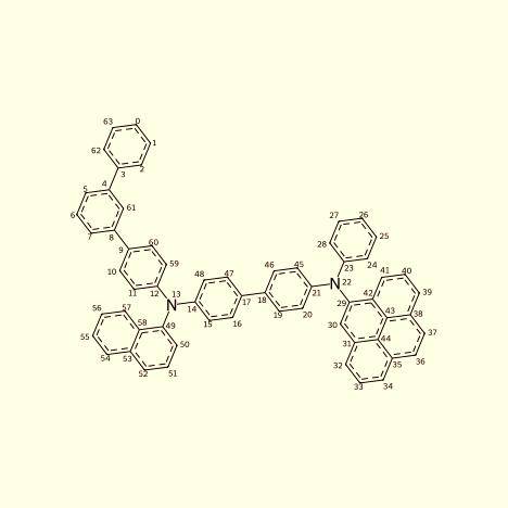 c1ccc(-c2cccc(-c3ccc(N(c4ccc(-c5ccc(N(c6ccccc6)c6cc7cccc8ccc9cccc6c9c87)cc5)cc4)c4cccc5ccccc45)cc3)c2)cc1